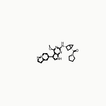 COc1nc(N[C@H]2C[C@]3(C(=O)N4CCCC4)CC23)nc2[nH]cc(-c3ccn4nccc4c3)c12